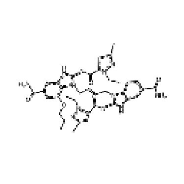 CCCOc1cc(C(N)=O)cc2[nH]/c(=N/C(=O)c3cc(C)nn3CC)n(C/C=C/Cn3/c(=N\C(=O)c4cc(C)nn4CC)[nH]c4cc(C(N)=O)ccc43)c12